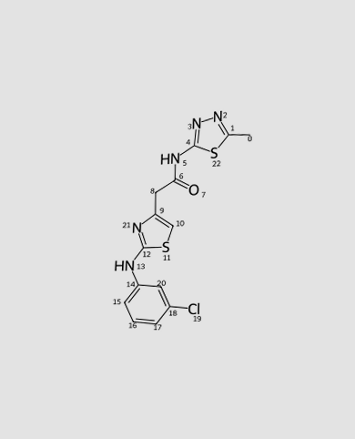 Cc1nnc(NC(=O)Cc2csc(Nc3cccc(Cl)c3)n2)s1